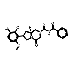 COc1ccc(Cl)c(Cl)c1C1C[C@H]2CN(C(=S)NC(=O)c3ccccc3)CC(=O)N2C1